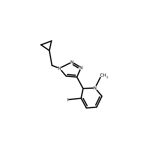 CN1C=CC=C(I)C1c1cn(CC2CC2)nn1